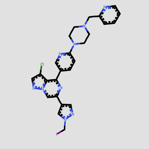 Clc1cnn2cc(-c3cnn(CI)c3)nc(-c3ccc(N4CCN(Cc5ccccn5)CC4)nc3)c12